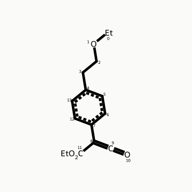 CCOCCc1ccc(C(=C=O)C(=O)OCC)cc1